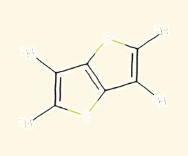 [2H]c1sc2c([2H])c([2H])sc2c1[2H]